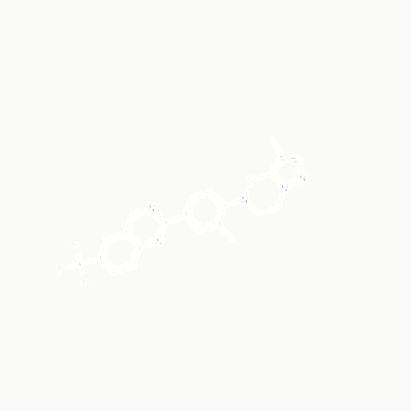 Cc1cc(-c2ncc3cc(C(F)(F)F)ccc3n2)ccc1N1CCn2ncc(C)c2S1